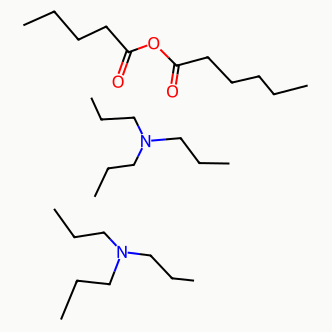 CCCCCC(=O)OC(=O)CCCC.CCCN(CCC)CCC.CCCN(CCC)CCC